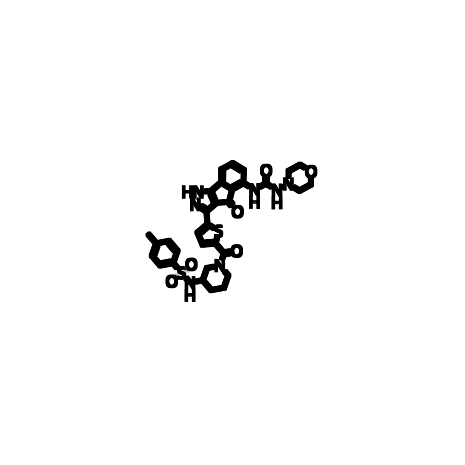 Cc1ccc(S(=O)(=O)NC2CCCN(C(=O)c3ccc(-c4n[nH]c5c4C(=O)c4c(NC(=O)NN6CCOCC6)cccc4-5)s3)C2)cc1